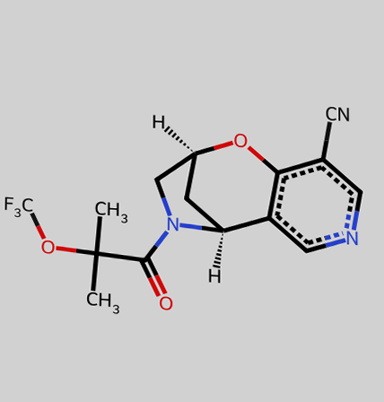 CC(C)(OC(F)(F)F)C(=O)N1C[C@@H]2C[C@H]1c1cncc(C#N)c1O2